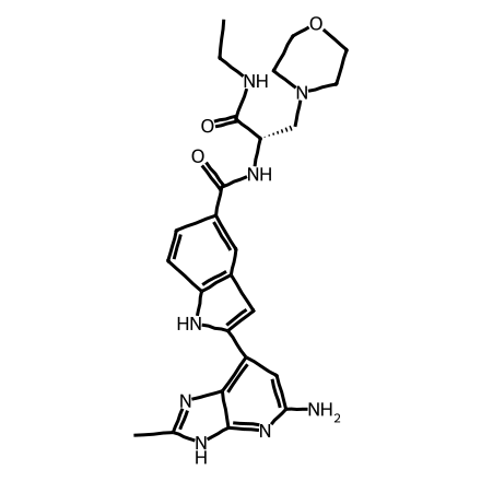 CCNC(=O)[C@H](CN1CCOCC1)NC(=O)c1ccc2[nH]c(-c3cc(N)nc4[nH]c(C)nc34)cc2c1